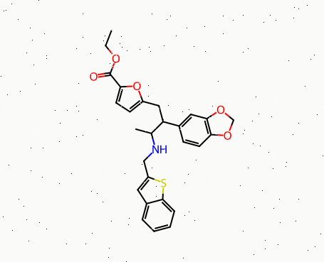 CCOC(=O)c1ccc(CC(c2ccc3c(c2)OCO3)C(C)NCc2cc3ccccc3s2)o1